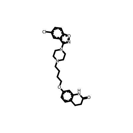 O=C1CCc2ccc(OCCCCN3CCN(c4noc5ccc(Cl)cc45)CC3)cc2N1